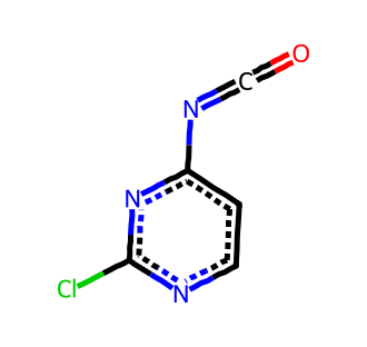 O=C=Nc1ccnc(Cl)n1